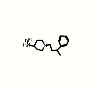 CCCNC1CCN(CCC(C)c2ccccc2)CC1